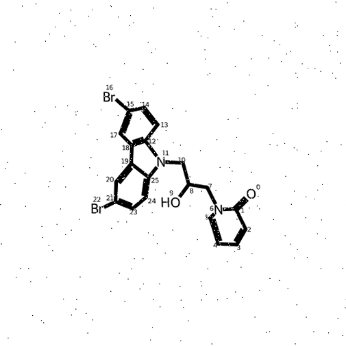 O=c1ccccn1CC(O)Cn1c2ccc(Br)cc2c2cc(Br)ccc21